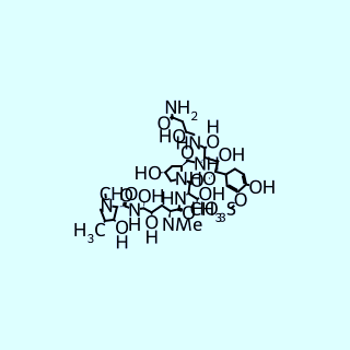 CN[C@@H](C[C@@H](O)[C@@H](O)NC(=O)[C@@H]1[C@@H](O)[C@@H](C)CN1C=O)C(=O)N[C@H](C(=O)N1C[C@H](O)C[C@H]1C(=O)N[C@H](C(O)NC[C@H](O)CC(N)=O)C(O)[C@@H](O)C1C=C(OS(=O)(=O)O)C(O)=CC1)[C@@H](C)O